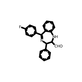 O=CC1Nc2ccccc2C(c2ccc(F)cc2)=NC1c1ccccc1